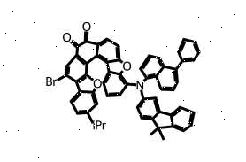 CC(C)c1ccc2c(c1)oc1c3c(cc(Br)c12)C(=O)C(=O)c1ccc2oc4c(N(c5ccc6c(c5)-c5ccccc5C6(C)C)c5cccc6c(-c7ccccc7)cccc56)cccc4c2c1-3